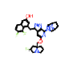 Oc1cc(CC2N=Nc3c2cc(OC[C@@]24CCCN2C[C@H](F)C4)nc3N2CC3CCC(C2)N3)c2c(F)c(F)ccc2c1